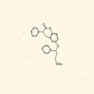 CNCCC(Oc1ccc2c(c1)CC(c1ccccc1)C(=O)O2)c1ccccc1